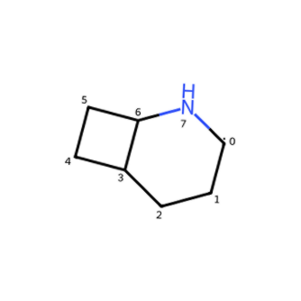 [CH]1CCC2CCC2N1